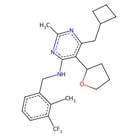 Cc1nc(CC2CCC2)c(C2CCCO2)c(NCc2cccc(C(F)(F)F)c2C)n1